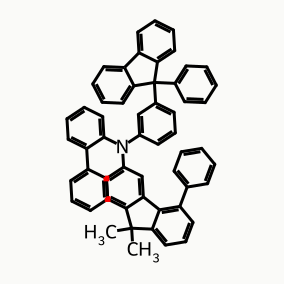 CC1(C)c2ccc(N(c3cccc(C4(c5ccccc5)c5ccccc5-c5ccccc54)c3)c3ccccc3-c3ccccc3)cc2-c2c(-c3ccccc3)cccc21